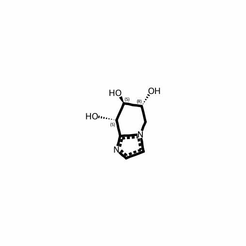 O[C@H]1[C@H](O)Cn2ccnc2[C@@H]1O